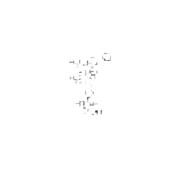 CCN1CC[C@H](c2ccccc2)C[C@@H]1C(=O)NC(C)C(=O)NCc1ccc(C(=N)NC(=O)O)cc1